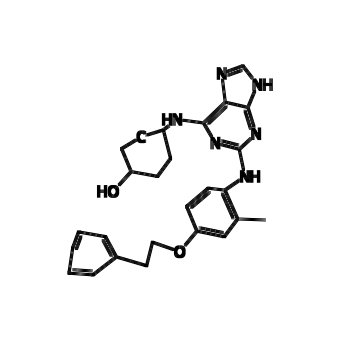 Cc1cc(OCCc2ccccc2)ccc1Nc1nc(NC2CCC(O)CC2)c2nc[nH]c2n1